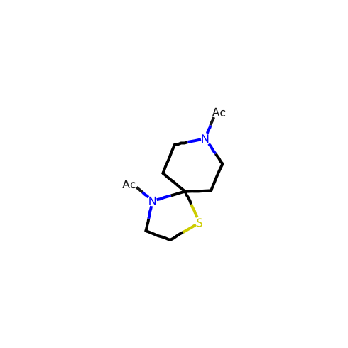 CC(=O)N1CCC2(CC1)SCCN2C(C)=O